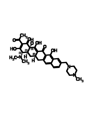 CC(=O)C1=C(O)[C@@H](N(C)C)[C@@H]2C[C@@H]3Cc4cc5ccc(CN6CCN(C)CC6)cc5c(O)c4C(=O)C3=C(O)[C@]2(O)C1=O